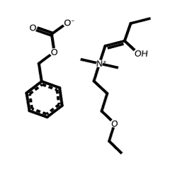 CCOCCC[N+](C)(C)C=C(O)CC.O=C([O-])OCc1ccccc1